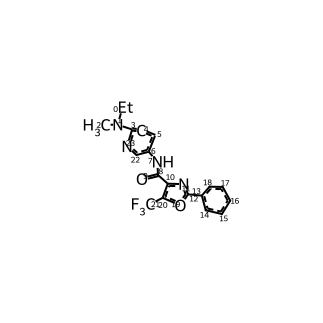 CCN(C)c1ccc(NC(=O)c2nc(-c3ccccc3)oc2C(F)(F)F)cn1